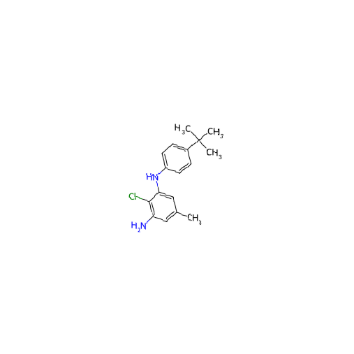 Cc1cc(N)c(Cl)c(Nc2ccc(C(C)(C)C)cc2)c1